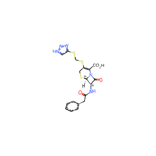 O=C(Cc1ccccc1)N[C@@H]1C(=O)N2C(C(=O)O)=C(SCSc3c[nH]nn3)CS[C@H]12